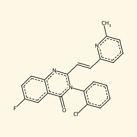 Cc1cccc(C=Cc2nc3ccc(F)cc3c(=O)n2-c2ccccc2Cl)n1